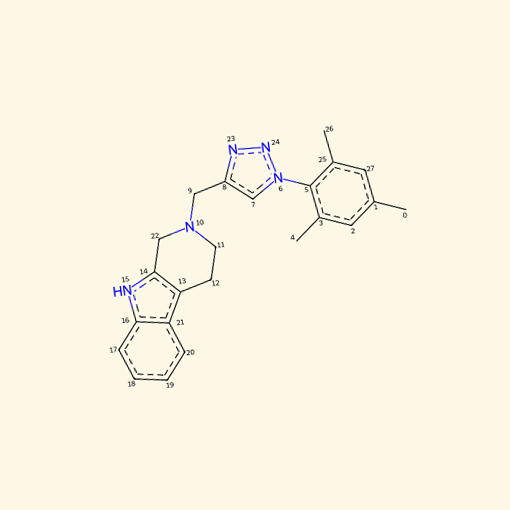 Cc1cc(C)c(-n2cc(CN3CCc4c([nH]c5ccccc45)C3)nn2)c(C)c1